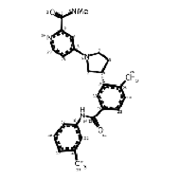 CNC(=O)c1cc(N2CC[C@H](c3cc(C(=O)Nc4cccc(C(F)(F)F)c4)ccc3C)C2)ccn1